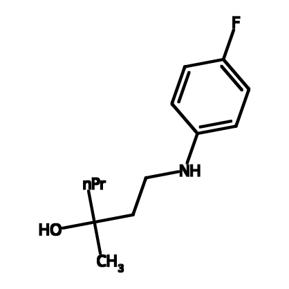 CCCC(C)(O)CCNc1ccc(F)cc1